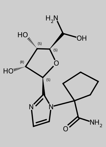 NC(=O)C1(n2ccnc2[C@@H]2O[C@H](C(N)O)[C@@H](O)[C@H]2O)CCCC1